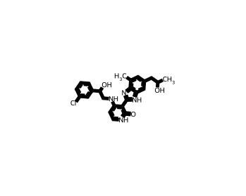 Cc1cc(CC(C)O)cc2[nH]c(-c3c(NCC(O)c4cccc(Cl)c4)cc[nH]c3=O)nc12